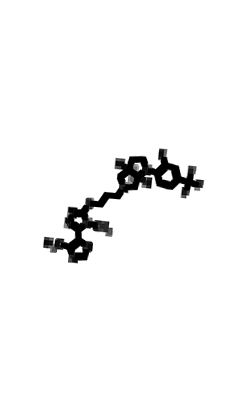 Cc1ncoc1-c1nnc(SCCCN2C[C@@H]3CCN(c4ccc(C(F)(F)F)cc4F)[C@@H]3C2)n1C